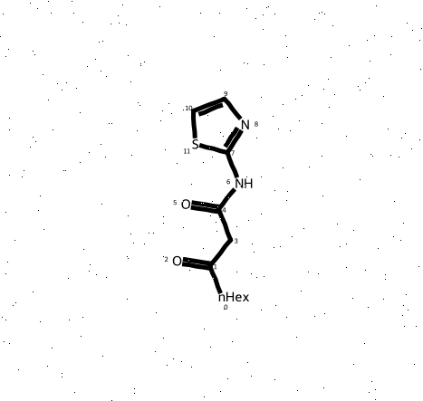 CCCCCCC(=O)CC(=O)Nc1nccs1